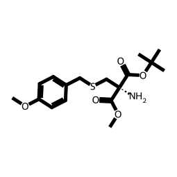 COC(=O)[C@@](N)(CSCc1ccc(OC)cc1)C(=O)OC(C)(C)C